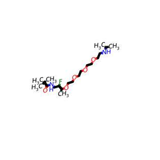 CC(C)NCCOCCOCCOCCOC(C)C(F)CNC(=O)C(C)(C)C